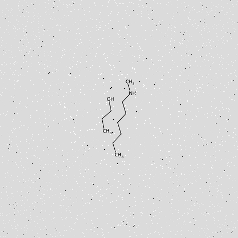 CCCCCCNC.CCCO